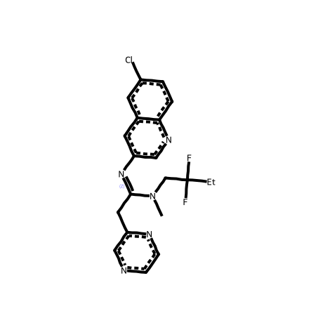 CCC(F)(F)CN(C)/C(Cc1cnccn1)=N\c1cnc2ccc(Cl)cc2c1